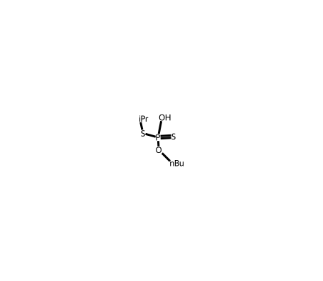 CCCCOP(O)(=S)SC(C)C